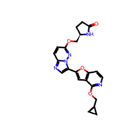 O=C1CC[C@H](COc2ccc3ncc(-c4cc5c(OCC6CC6)nccc5o4)n3n2)N1